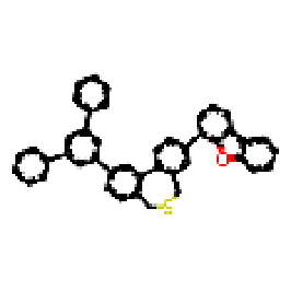 c1ccc(-c2cc(-c3ccccc3)cc(-c3ccc4c(c3)-c3ccc(-c5cccc6c5oc5ccccc56)cc3CSC4)c2)cc1